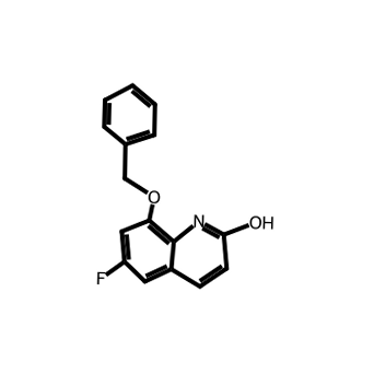 Oc1ccc2cc(F)cc(OCc3ccccc3)c2n1